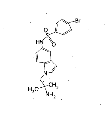 CC(C)(N)Cn1ccc2cc(NS(=O)(=O)c3ccc(Br)cc3)ccc21